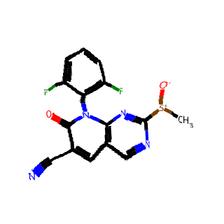 C[S+]([O-])c1ncc2cc(C#N)c(=O)n(-c3c(F)cccc3F)c2n1